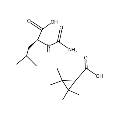 CC(C)C[C@H](NC(N)=O)C(=O)O.CC1(C)C(C(=O)O)C1(C)C